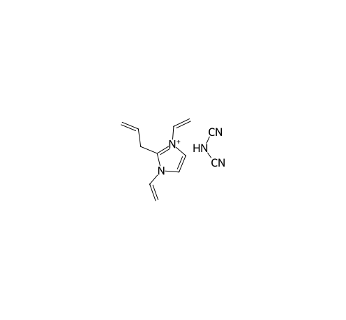 C=CCc1n(C=C)cc[n+]1C=C.N#CNC#N